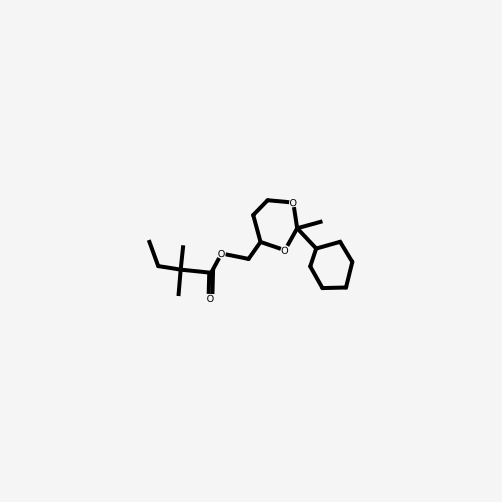 CCC(C)(C)C(=O)OCC1CCOC(C)(C2CCCCC2)O1